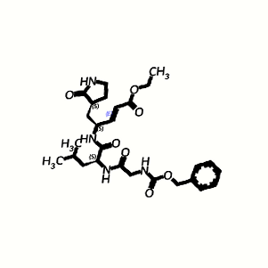 CCOC(=O)/C=C/[C@H](C[C@@H]1CCNC1=O)NC(=O)[C@H](CC(C)C)NC(=O)CNC(=O)OCc1ccccc1